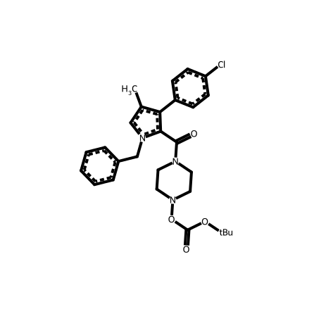 Cc1cn(Cc2ccccc2)c(C(=O)N2CCN(OC(=O)OC(C)(C)C)CC2)c1-c1ccc(Cl)cc1